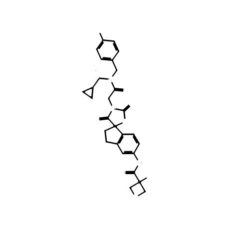 C[C@@H](C1CC1)N(Cc1ccc(F)cc1)C(=O)CN1C(=O)OC2(CCc3cc(NC(=O)C4(C)CNC4)ccc32)C1=O